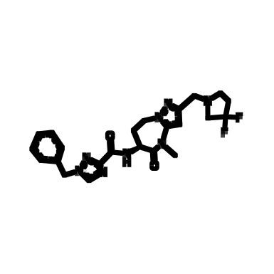 CN1C(=O)[C@@H](NC(=O)c2ncn(Cc3ccccc3)n2)CCn2nc(CN3CCC(F)(F)C3)cc21